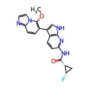 COc1c(-c2c[nH]c3nc(NC(=O)[C@@H]4C[C@@H]4F)ccc23)ccc2nccn12